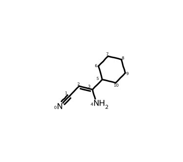 N#CC=C(N)C1CCCCC1